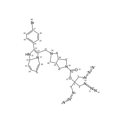 [N-]=[N+]=NCC(CN=[N+]=[N-])(CN=[N+]=[N-])OC(=O)N1CC2CN(CC3=C(c4ccc(Br)cc4)NC4C=CC=CN34)CC2C1